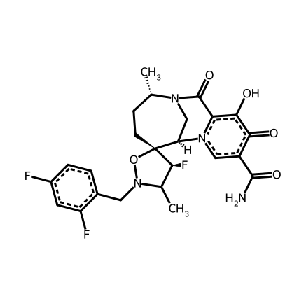 CC1[C@H](F)[C@]2(CC[C@H](C)N3C[C@H]2n2cc(C(N)=O)c(=O)c(O)c2C3=O)ON1Cc1ccc(F)cc1F